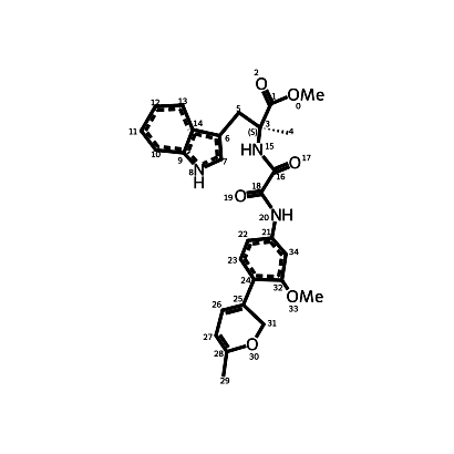 COC(=O)[C@](C)(Cc1c[nH]c2ccccc12)NC(=O)C(=O)Nc1ccc(C2=CC=C(C)OC2)c(OC)c1